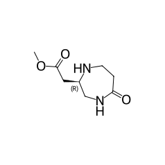 COC(=O)C[C@@H]1CNC(=O)CCN1